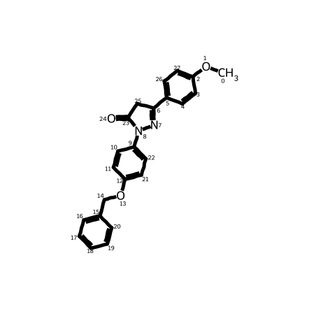 COc1ccc(C2=NN(c3ccc(OCc4ccccc4)cc3)C(=O)C2)cc1